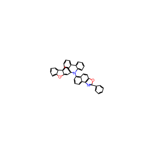 c1ccc(-c2nc3c(ccc4c(N(c5ccc6c(c5)oc5ccccc56)c5ccccc5-c5ccccc5)cccc43)o2)cc1